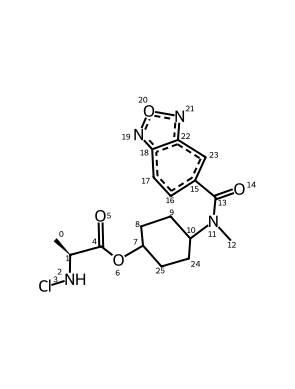 C[C@H](NCl)C(=O)OC1CCC(N(C)C(=O)c2ccc3nonc3c2)CC1